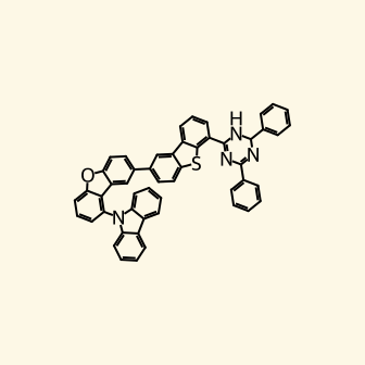 c1ccc(C2=NC(c3ccccc3)NC(c3cccc4c3sc3ccc(-c5ccc6oc7cccc(-n8c9ccccc9c9ccccc98)c7c6c5)cc34)=N2)cc1